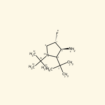 CC(C)(C)C1[C@H](N)[C@@H](F)CN1C(C)(C)C